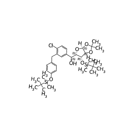 CC1(C)O[C@@H]2O[C@@H]([C@@H](O)c3ccc(Cl)c(Cc4ccc(O[Si](C)(C)C(C)(C)C)cc4)c3)[C@@H](O[Si](C)(C)C(C)(C)C)[C@@H]2O1